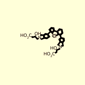 O=C(O)C[C@H](O)CN1Cc2ccc(-c3cccc(-c4cccc(-c5ccc6c(c5)CN(C[C@@H](O)CC(=O)O)C6)c4Cl)c3Cl)cc2C1